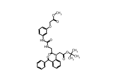 COC(=O)COc1cccc(NC(=O)NCC(=O)N(CC(=O)OC(C)(C)C)c2ccccc2C(=O)c2ccccc2)c1